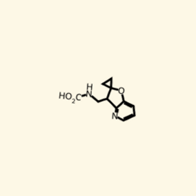 O=C(O)NCC1c2ncccc2OC12CC2